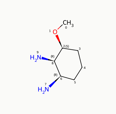 CO[C@H]1CCC[C@@H](N)[C@H]1N